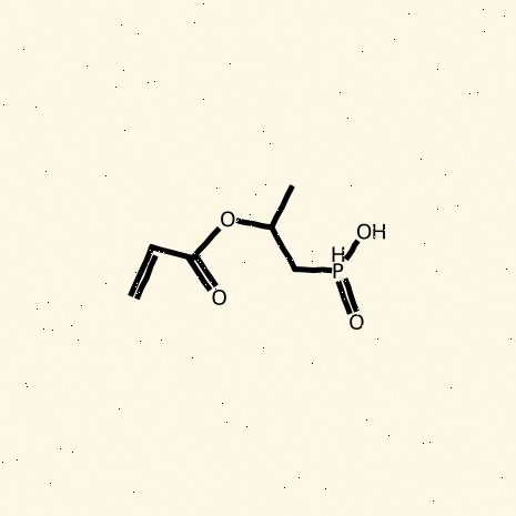 C=CC(=O)OC(C)C[PH](=O)O